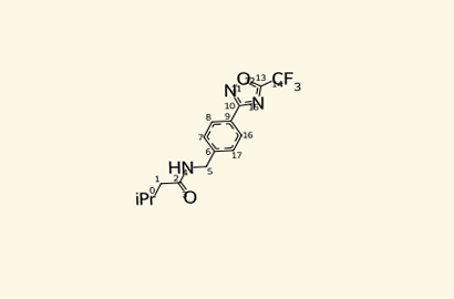 CC(C)CC(=O)NCc1ccc(-c2noc(C(F)(F)F)n2)cc1